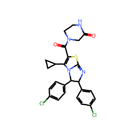 O=C1CN(C(=O)C2=C(C3CC3)N3C(=NC(c4ccc(Cl)cc4)C3c3ccc(Cl)cc3)S2)CCN1